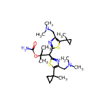 CN(C)Cc1nc(C(c2nc(CN(C)C)c(C3(C)CC3)s2)C(C)(C)OC(N)=O)sc1C1(C)CC1